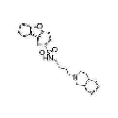 O=S(=O)(NCCCCN1CCc2ccccc2C1)c1ccc2oc3ccccc3c2c1